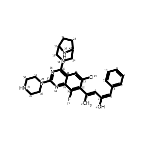 C/C(=C\C(O)=C/c1ccccc1)c1c(Cl)cc2c(N3CC4CCC(C3)N4)nc(N3CCNCC3)nc2c1F